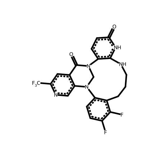 O=C1c2cc(C(F)(F)F)ncc2N2CN1c1ccc(=O)[nH]c1NCCCc1c2ccc(F)c1F